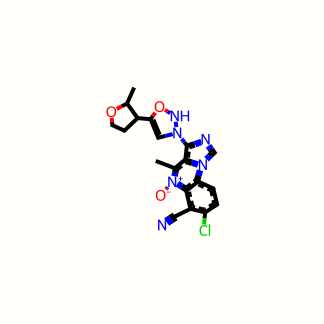 Cc1c2c(N3C=C(C4CCOC4C)ON3)ncn2c2ccc(Cl)c(C#N)c2[n+]1[O-]